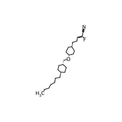 CCCCCCC[C@H]1CC[C@H](CO[C@H]2CC[C@H](CC/C=C(\F)C#N)CC2)CC1